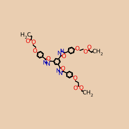 C=COC(=O)CCOc1ccc(-c2nnc(-c3cc(-c4nnc(-c5ccc(OCCOC(=O)C=C)cc5)o4)cc(-c4nnc(-c5ccc(OCCOC(=O)C=C)cc5)o4)c3)o2)cc1